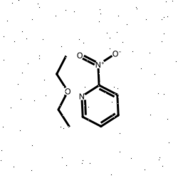 CCOCC.O=[N+]([O-])c1ccccn1